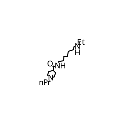 CCCN1CCC(C(=O)NCCCCCCCNCC)CC1